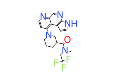 CN(CC(F)(F)F)C(=O)C1CCCN(c2ccnc3cnc4[nH]ccc4c23)C1